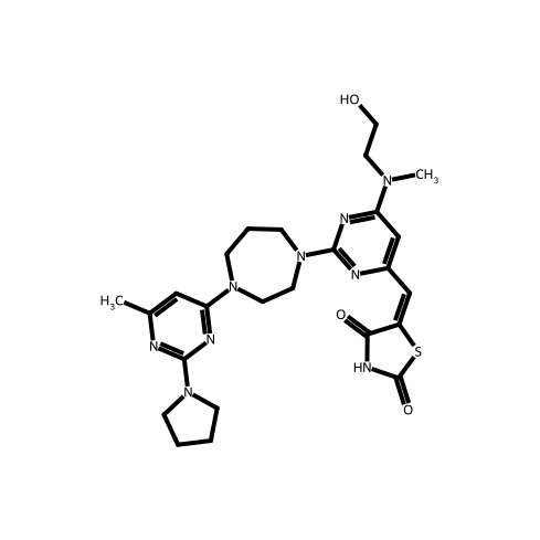 Cc1cc(N2CCCN(c3nc(C=C4SC(=O)NC4=O)cc(N(C)CCO)n3)CC2)nc(N2CCCC2)n1